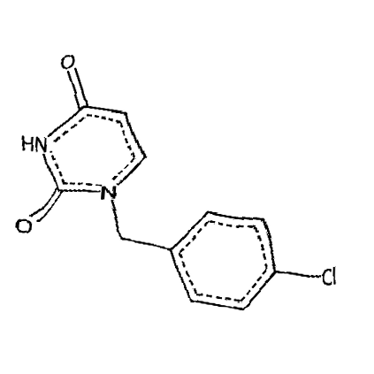 O=c1ccn(Cc2ccc(Cl)cc2)c(=O)[nH]1